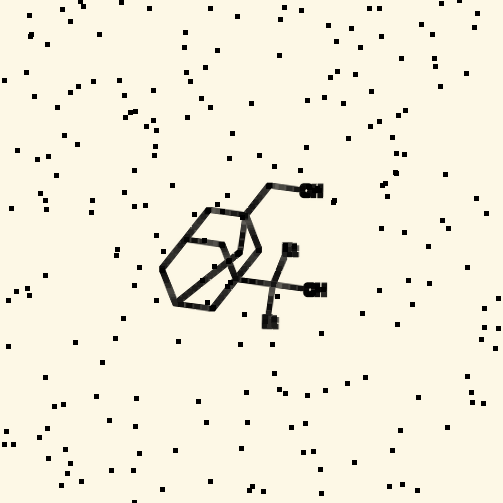 CCC(O)(CC)C12CC3CC(CC(CO)(C3)C1)C2